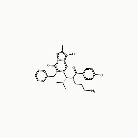 Cc1nn2c(=O)n(Cc3ccccc3)c([C@@H](C(C)C)N(CCCN)C(=O)c3ccc(Cl)cc3)cc2c1Cl